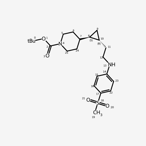 CC(C)(C)OC(=O)N1CCC([C@H]2C[C@@H]2CCNc2ccc(S(C)(=O)=O)cc2)CC1